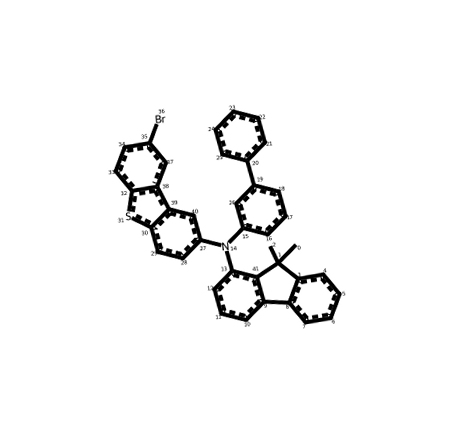 CC1(C)c2ccccc2-c2cccc(N(c3cccc(-c4ccccc4)c3)c3ccc4sc5ccc(Br)cc5c4c3)c21